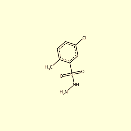 Cc1ccc(Cl)cc1S(=O)(=O)NN